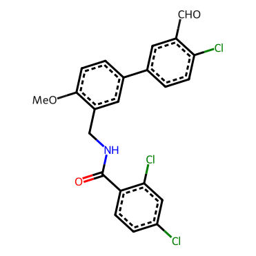 COc1ccc(-c2ccc(Cl)c(C=O)c2)cc1CNC(=O)c1ccc(Cl)cc1Cl